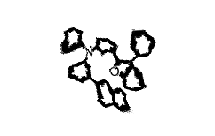 c1ccc(-c2c(-c3cccc(N(c4ccccc4)c4cccc(-c5ccc6ccccc6c5)c4)c3)oc3ccccc23)cc1